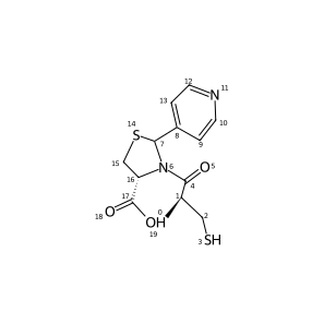 C[C@H](CS)C(=O)N1C(c2ccncc2)SC[C@H]1C(=O)O